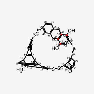 CC1C[C@@H]2c3ccc4cc3C1c1ccc(cc12)SSc1cccc(c1C=O)SSc1ccc2c(c1)C1c3ccc(cc3C2C(C(=O)O)C1C(=O)O)SS4